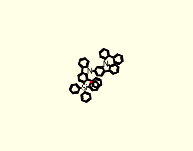 c1ccc(-c2ccccc2-n2c3ccccc3c3ccc(-n4c5ccccc5c5ccc([Si](c6ccccc6)(c6ccccc6)c6ccccc6)c(-c6ccccc6)c54)cc32)cc1